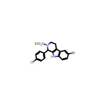 CCOC(=O)N1CCc2c([nH]c3ccc(Br)cc23)C1c1ccc(Cl)cc1